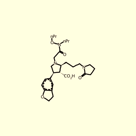 CCCON(CCC)C(=O)CN1C[C@H](c2ccc3c(c2)CCO3)[C@@H](C(=O)O)[C@@H]1CCCN1CCCC1=O